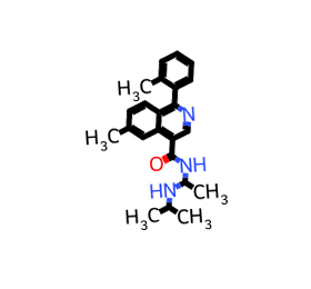 Cc1ccc2c(-c3ccccc3C)ncc(C(=O)NC(C)NC(C)C)c2c1